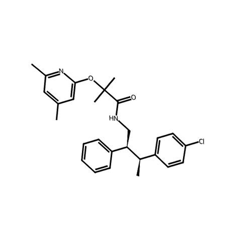 Cc1cc(C)nc(OC(C)(C)C(=O)NC[C@H](c2ccccc2)[C@H](C)c2ccc(Cl)cc2)c1